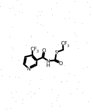 O=C(NC(=O)c1cnccc1C(F)(F)F)SCC(F)(F)F